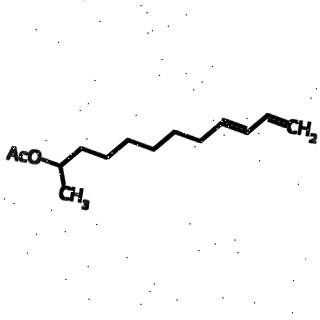 C=CC=CCCCCCCC(C)OC(C)=O